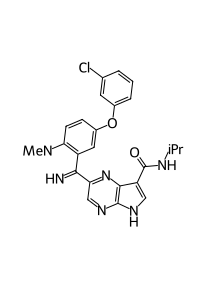 CNc1ccc(Oc2cccc(Cl)c2)cc1C(=N)c1cnc2[nH]cc(C(=O)NC(C)C)c2n1